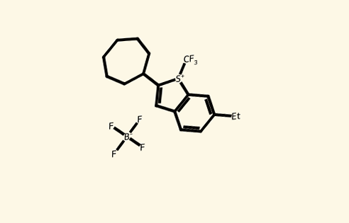 CCc1ccc2cc(C3CCCCCC3)[s+](C(F)(F)F)c2c1.F[B-](F)(F)F